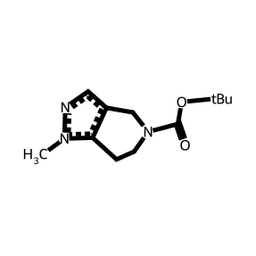 Cn1ncc2c1CCN(C(=O)OC(C)(C)C)C2